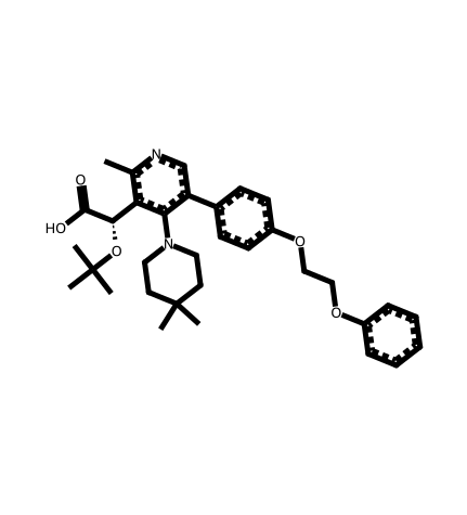 Cc1ncc(-c2ccc(OCCOc3ccccc3)cc2)c(N2CCC(C)(C)CC2)c1[C@H](OC(C)(C)C)C(=O)O